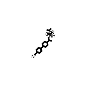 CC(CNS(=O)(=O)C(C)C)C1CC=C(c2ccc(C#N)cc2)CC1